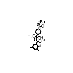 CC(C)(C)OC(=O)N1CCC(C(C)(C)OC(=O)c2cc(I)cc(I)c2I)CC1